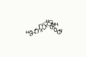 CC1(C)C(c2ccc(C(=O)O)cc2)=CC[C@@]2(C)C1CC[C@]1(C)C2CC[C@@H]2C3CCC[C@]3(NC(=O)COc3cccnc3)CC[C@]21C